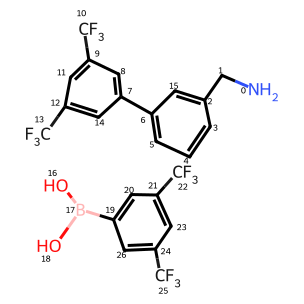 NCc1cccc(-c2cc(C(F)(F)F)cc(C(F)(F)F)c2)c1.OB(O)c1cc(C(F)(F)F)cc(C(F)(F)F)c1